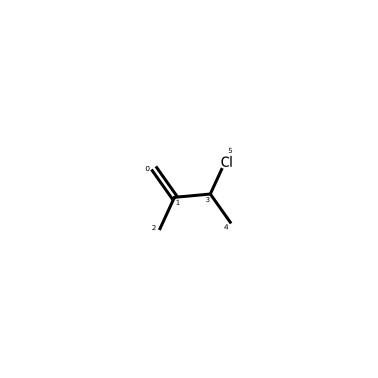 C=C(C)C(C)Cl